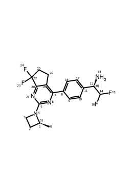 C[C@H]1CCN1c1nc(-c2ccc([C@@H](N)C(F)F)cc2)c2c(n1)C(F)(F)CC2